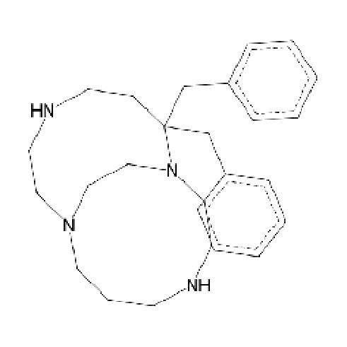 c1ccc(CC2(Cc3ccccc3)CCNCCN3CCCNCCN2CC3)cc1